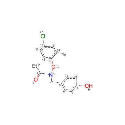 CCC(=O)N(Cc1ccc(O)cc1)Oc1ccc(Cl)cc1C